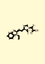 CCN1C(=CC=C2SCN(C(=S)C(=O)O)C2=O)Sc2ccccc21